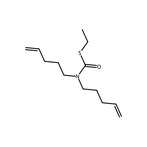 C=CCCCN(CCCC=C)C(=O)SCC